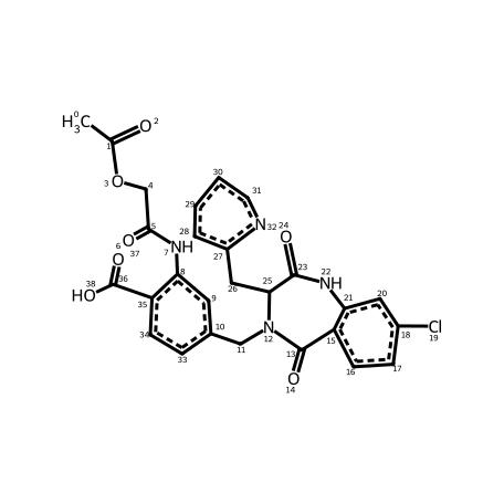 CC(=O)OCC(=O)Nc1cc(CN2C(=O)c3ccc(Cl)cc3NC(=O)C2Cc2ccccn2)ccc1C(=O)O